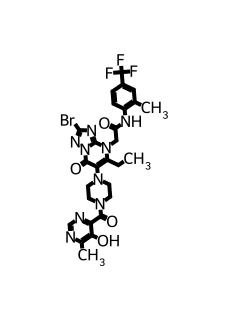 CCc1c(N2CCN(C(=O)c3ncnc(C)c3O)CC2)c(=O)n2nc(Br)nc2n1CC(=O)Nc1ccc(C(F)(F)F)cc1C